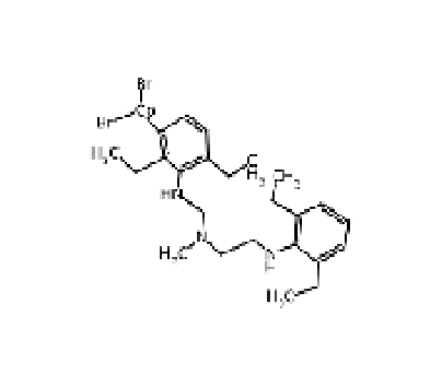 CCc1cccc(CC)c1NCCN(C)CNc1c(CC)cc[c]([Co]([Br])[Br])c1CC